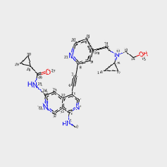 CNc1ncc(C#Cc2cc(CN(CCO)C3CC3)ccn2)c2cc(NC(=O)C3CC3)ncc12